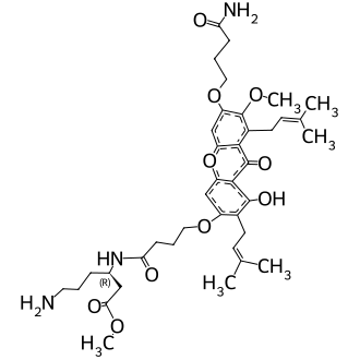 COC(=O)C[C@@H](CCCN)NC(=O)CCCOc1cc2oc3cc(OCCCC(N)=O)c(OC)c(CC=C(C)C)c3c(=O)c2c(O)c1CC=C(C)C